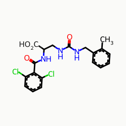 Cc1ccccc1CNC(=O)NCC(NC(=O)c1c(Cl)cccc1Cl)C(=O)O